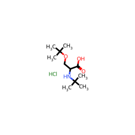 CC(C)(C)NC(COC(C)(C)C)C(=O)O.Cl